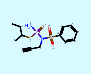 C#CCN(P(N)(=S)SC(C)CC)S(=O)(=O)c1ccccc1